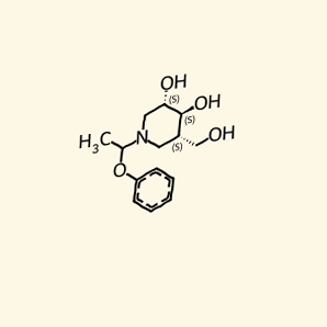 CC(Oc1ccccc1)N1C[C@@H](CO)[C@H](O)[C@@H](O)C1